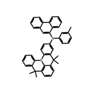 Cc1cccc(N(c2ccc3c(c2)C(C)(C)c2cccc4c2N3c2ccccc2C4(C)C)c2cc3ccccc3c3ccccc23)c1